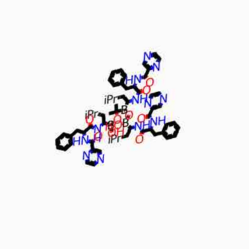 CC(C)CC(NC(=O)C(Cc1ccccc1)NC(=O)c1cnccn1)B(O)OB(C(CC(C)C)NC(=O)C(Cc1ccccc1)NC(=O)c1cnccn1)C(C)(C)OB(O)C(CC(C)C)NC(=O)C(Cc1ccccc1)NC(=O)c1cnccn1